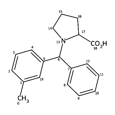 Cc1cccc(C(c2ccccc2)N2CCCC2C(=O)O)c1